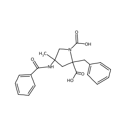 CC1(NC(=O)c2ccccc2)CN(C(=O)O)C(Cc2ccccc2)(C(=O)O)C1